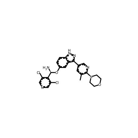 Cc1cc(-c2n[nH]c3ccc(O[C@H](N)c4c(Cl)cncc4Cl)cc23)cnc1N1CCOCC1